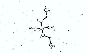 C[Si](C)(OCO)OCO